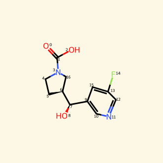 O=C(O)N1CC[C@H]([C@H](O)c2cncc(F)c2)C1